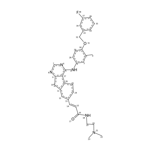 Cc1cc(Nc2ncnc3sc4cc(/C=C/C(=O)NCCN(C)C)ccc4c23)ccc1OCc1cccc(F)c1